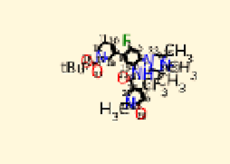 C[C@@H]1CN(c2cc(F)c(C3=CCCN(C(=O)OC(C)(C)C)C3)cc2NC(=O)c2cn(C)c(=O)cc2C(F)(F)F)C[C@H](C)N1C